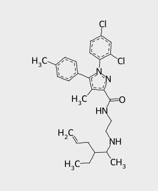 C=CCC(CC)C(C)NCCNC(=O)c1nn(-c2ccc(Cl)cc2Cl)c(-c2ccc(C)cc2)c1C